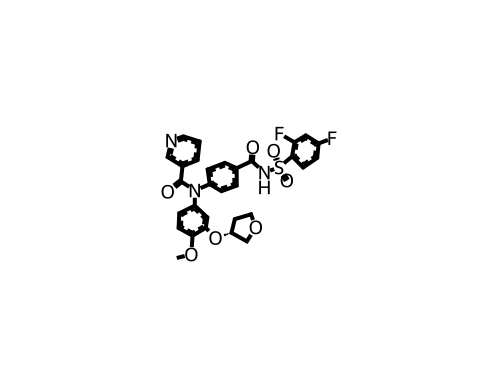 COc1ccc(N(C(=O)c2cccnc2)c2ccc(C(=O)NS(=O)(=O)c3ccc(F)cc3F)cc2)cc1O[C@@H]1CCOC1